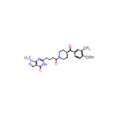 COc1ccc(C(=O)C2CCN(C(=O)CCCc3nc4c(cnn4C)c(=O)[nH]3)CC2)cc1C